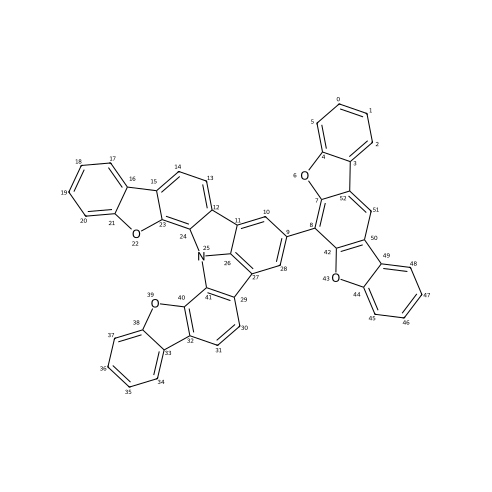 c1ccc2c(c1)oc1c(-c3cc4c5ccc6c7ccccc7oc6c5n5c4c(c3)c3ccc4c6ccccc6oc4c35)c3oc4ccccc4c3cc12